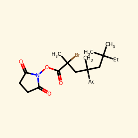 CCC(C)(C)CC(C)(CC(C)(Br)C(=O)ON1C(=O)CCC1=O)C(C)=O